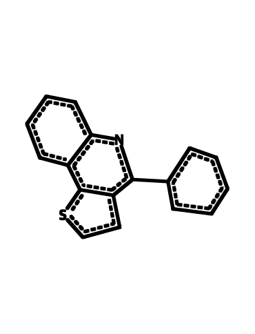 c1ccc(-c2nc3ccccc3c3sccc23)cc1